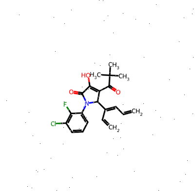 C=C/C=C(\C=C)C1C(C(=O)C(C)(C)C)=C(O)C(=O)N1c1cccc(Cl)c1F